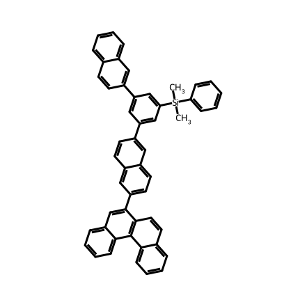 C[Si](C)(c1ccccc1)c1cc(-c2ccc3ccccc3c2)cc(-c2ccc3cc(-c4cc5ccccc5c5c4ccc4ccccc45)ccc3c2)c1